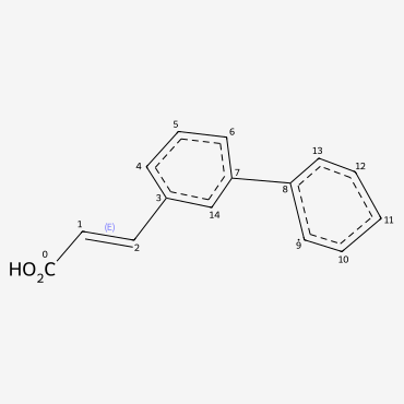 O=C(O)/C=C/c1cccc(-c2[c]cccc2)c1